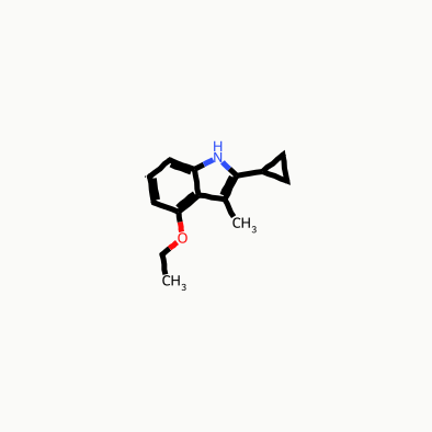 CCOc1c[c]cc2[nH]c(C3CC3)c(C)c12